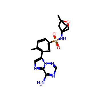 Cc1ccc(S(=O)(=O)NC23COC(C)(C2)C3)cc1-c1cnc2c(N)ncnn12